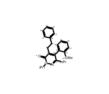 CCCc1nn(C(C)C)c(=O)c(CCc2ccccc2)c1-c1ccccc1OC